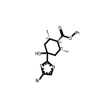 CC(C)OC(=O)[C@H]1[C@H](C)CC(O)(c2ncc(Br)s2)C[C@@H]1C